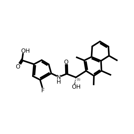 Cc1c(C)c([C@H](O)C(=O)Nc2ccc(C(=O)O)cc2F)c(C)c2c1C(C)C=CC2